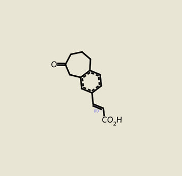 O=C(O)/C=C/c1ccc2c(c1)CC(=O)CCC2